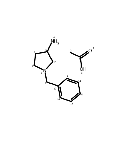 CC(=O)O.NC1CCN(Cc2ccccc2)C1